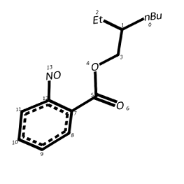 CCCCC(CC)COC(=O)c1ccccc1N=O